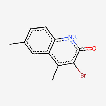 Cc1ccc2[nH]c(=O)c(Br)c(C)c2c1